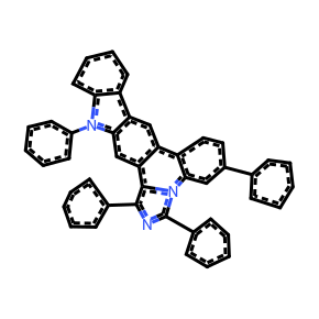 c1ccc(-c2ccc3c4cc5c6ccccc6n(-c6ccccc6)c5cc4c4c(-c5ccccc5)nc(-c5ccccc5)n4c3c2)cc1